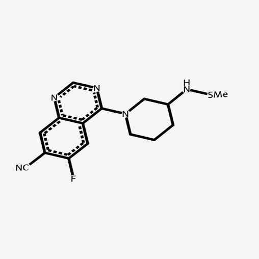 CSNC1CCCN(c2ncnc3cc(C#N)c(F)cc23)C1